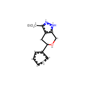 CCOC(=O)c1n[nH]c2c1CC(c1ccccc1)OC2